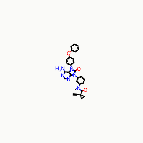 C#CC1(C(=O)N(C)c2cccc(-n3c(=O)n(-c4ccc(Oc5ccccc5)cc4)c4c(N)ncnc43)c2)CC1